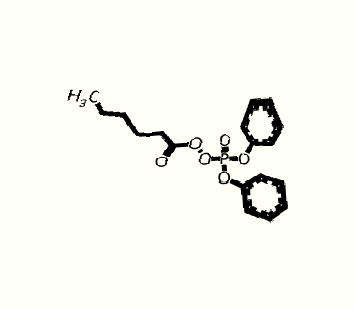 CCCCCC(=O)OOP(=O)(Oc1ccccc1)Oc1ccccc1